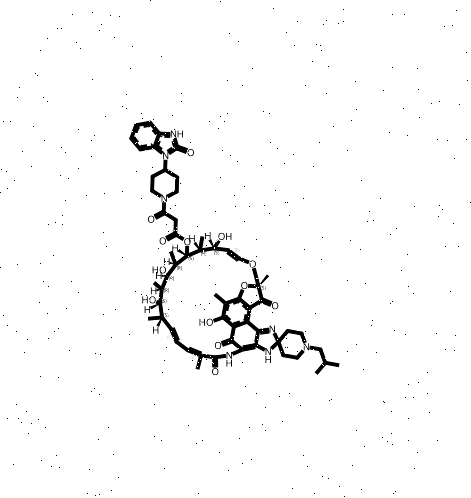 C/C1=C/C=C/[C@H](C)[C@H](O)[C@@H](C)[C@@H](O)[C@@H](C)[C@H](OC(=O)CC(=O)N2CCC(n3c(=O)[nH]c4ccccc43)CC2)[C@H](C)[C@H](O)/C=C/O[C@@]2(C)Oc3c(C)c(O)c4c(c3C2=O)C2=NC3(CCN(CC(C)C)CC3)NC2=C(NC1=O)C4=O